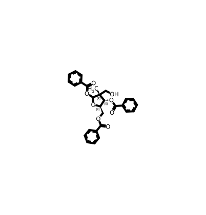 C[C@]1(CO)C(OC(=O)c2ccccc2)O[C@H](COC(=O)c2ccccc2)[C@H]1OC(=O)c1ccccc1